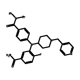 CC(C)N(C(=O)c1ccc(N(c2cc(C(N)=O)ccc2F)C2CCN(Cc3ccncc3)CC2)cc1)C(C)C